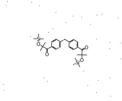 CC(C)(O[Si](C)(C)C)C(=O)c1ccc(Cc2ccc(C(=O)C(C)(C)O[Si](C)(C)C)cc2)cc1